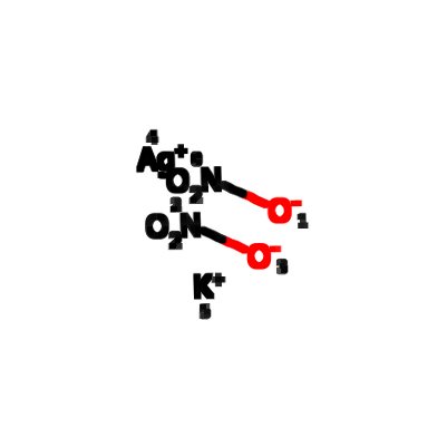 O=[N+]([O-])[O-].O=[N+]([O-])[O-].[Ag+].[K+]